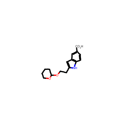 O=C(O)c1ccc2[nH]c(CCOC3CCCCO3)cc2c1